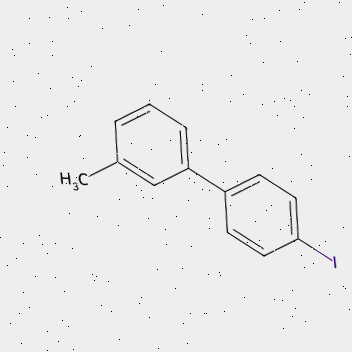 Cc1cccc(-c2ccc(I)cc2)c1